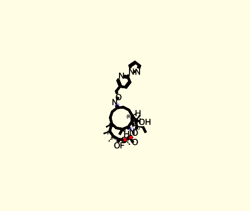 CC[C@H]1OC(=O)[C@@](C)(F)C(=O)[C@H](C)[C@@H](C)[C@]2(C)CC/C(=N/OCc3ccc(-n4cccn4)nc3)CC[C@H]([C@@H](C)/C(=N/C(C)=O)[C@H](C)C2)[C@]1(C)O